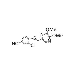 COc1ncc(CSc2ccc(C#N)cc2Cl)nc1OC